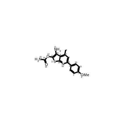 COc1ccc(-c2cc(C)c3c(N)c(OC(N)=O)sc3n2)cc1